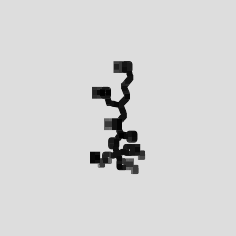 CC(C)(C)OC(=O)NCC(CO)CCCO